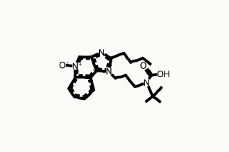 CCCCc1nc2c[n+]([O-])c3ccccc3c2n1CCCN(C(=O)O)C(C)(C)C